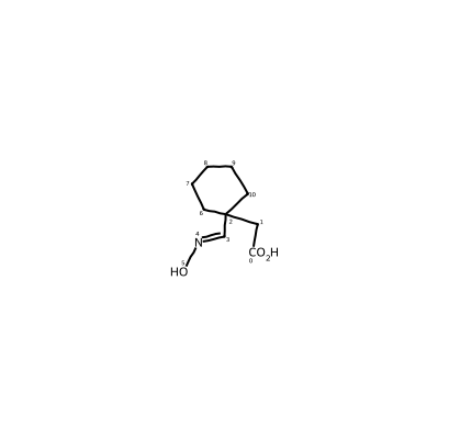 O=C(O)CC1(C=NO)CCCCC1